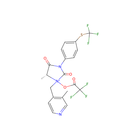 Cc1cnccc1C[N+]1(OC(=O)C(F)(F)F)C(=O)N(c2ccc(SC(F)(F)F)cc2)C(=O)[C@H]1C